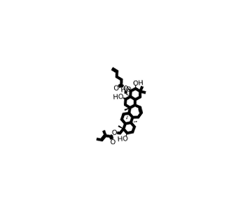 C=CCCC(=O)OC[C@@]12C(CC(C)(C)[C@@H](O)[C@@H]1O)C1C=CCC3[C@@]4(C)CC[C@H](O)[C@](C)(COC(=O)/C(C)=C/C)C4CC[C@@]3(C)[C@]1(C)C[C@H]2O